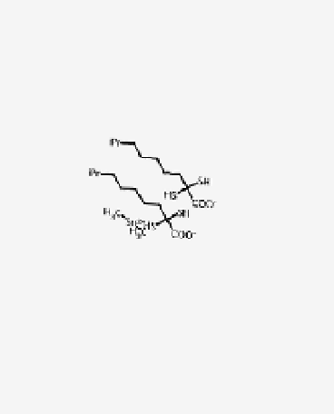 CC(C)CCCCCC(S)(S)C(=O)[O-].CC(C)CCCCCC(S)(S)C(=O)[O-].[CH3][Sn+2][CH3]